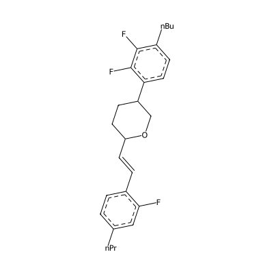 CCCCc1ccc(C2CCC(/C=C/c3ccc(CCC)cc3F)OC2)c(F)c1F